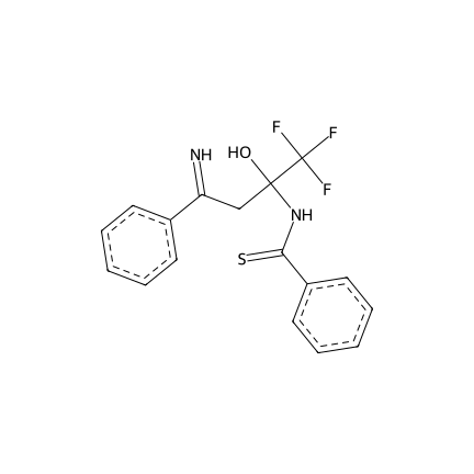 N=C(CC(O)(NC(=S)c1ccccc1)C(F)(F)F)c1ccccc1